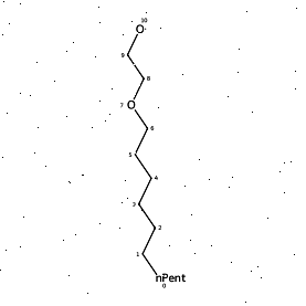 CCCCCCCCCCCOCC[O]